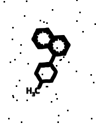 CC1CC=C(c2cccc3ccccc23)CC1